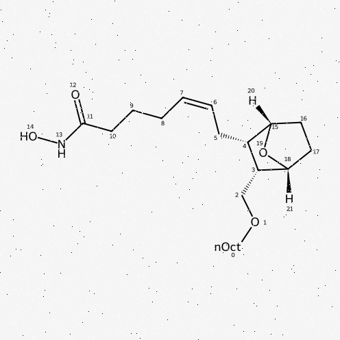 CCCCCCCCOC[C@@H]1[C@H](C/C=C\CCCC(=O)NO)[C@@H]2CC[C@H]1O2